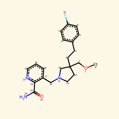 CCOCC1(CCc2ccc(F)cc2)CCN(Cc2cccnc2C(N)=O)C1